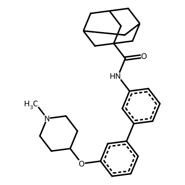 CN1CCC(Oc2cccc(-c3cccc(NC(=O)C45CC6CC(CC(C6)C4)C5)c3)c2)CC1